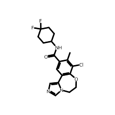 Cc1c(C(=O)NC2CCC(F)(F)CC2)cc2c(c1Cl)OCCn1cncc1-2